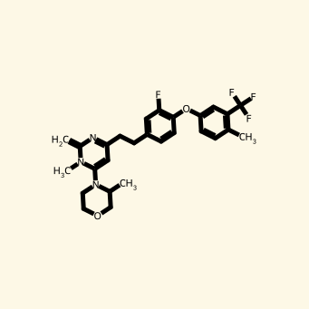 C=C1N=C(CCc2ccc(Oc3ccc(C)c(C(F)(F)F)c3)c(F)c2)C=C(N2CCOCC2C)N1C